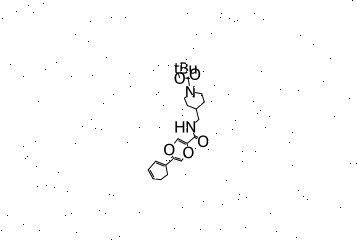 CC(C)(C)OC(=O)N1CCC(CNC(=O)C2=COC(C3=CC=CCC3)=CO2)CC1